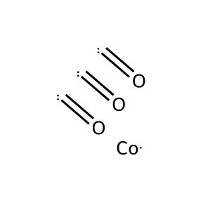 [C]=O.[C]=O.[C]=O.[Co]